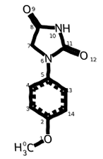 COc1ccc(N2CC(=O)NC2=O)cc1